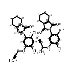 C#CC(C)Oc1cc(N2C(=O)C3=C(CCCC3)C2=O)c(F)cc1Cl.C#CCOc1cc(-n2nc3n(c2=O)CCCC3)c(Cl)cc1Cl